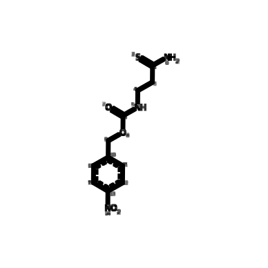 NC(=S)CCNC(=O)OCc1ccc([N+](=O)[O-])cc1